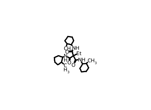 CCC(C(=O)NC1CCCCC1C)(C(=O)NC1CCCCC1C)C(=O)NC1CCCCC1C